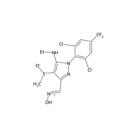 CCNc1c([S+](C)[O-])c(/C=N/O)nn1-c1c(Cl)cc(C(F)(F)F)cc1Cl